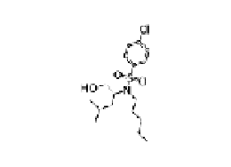 CCCCCN([C@@H](CO)CC(C)C)S(=O)(=O)c1ccc(Cl)cc1